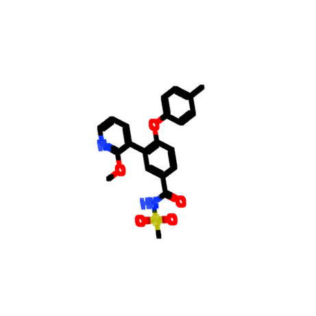 COc1ncccc1-c1cc(C(=O)NS(C)(=O)=O)ccc1Oc1ccc(C)cc1